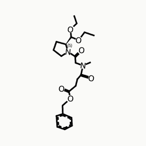 CCOC(OCC)[C@@H]1CCCN1C(=O)CN(C)C(=O)CCC(=O)OCc1ccccc1